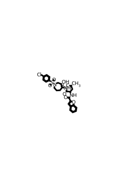 CC(C)CC(NC(=O)c1cc2ccccc2o1)C(=O)NC1CCCN(S(=O)(=O)c2ccc(Cl)cc2)C[C@@H]1O